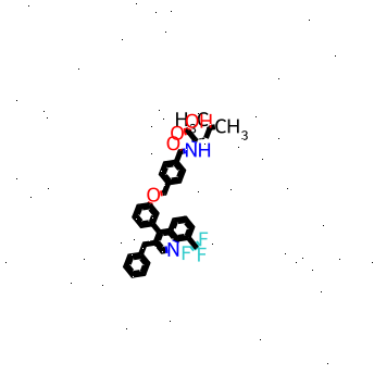 CC(C)C[C@H](NC(=O)c1ccc(COc2cccc(-c3c(Cc4ccccc4)cnc4c(C(F)(F)F)cccc34)c2)cc1)C(=O)O